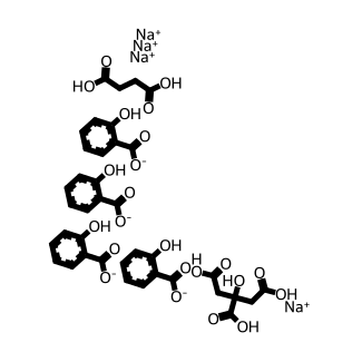 O=C(O)CC(O)(CC(=O)O)C(=O)O.O=C(O)CCC(=O)O.O=C([O-])c1ccccc1O.O=C([O-])c1ccccc1O.O=C([O-])c1ccccc1O.O=C([O-])c1ccccc1O.[Na+].[Na+].[Na+].[Na+]